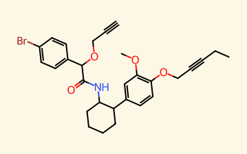 C#CCOC(C(=O)NC1CCCCC1c1ccc(OCC#CCC)c(OC)c1)c1ccc(Br)cc1